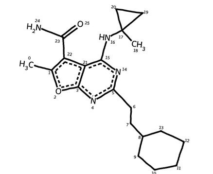 Cc1oc2nc(CCC3CCCCC3)nc(NC3(C)CC3)c2c1C(N)=O